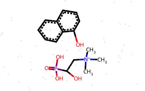 C[N+](C)(C)CC(O)P(=O)(O)O.Oc1cccc2ccccc12